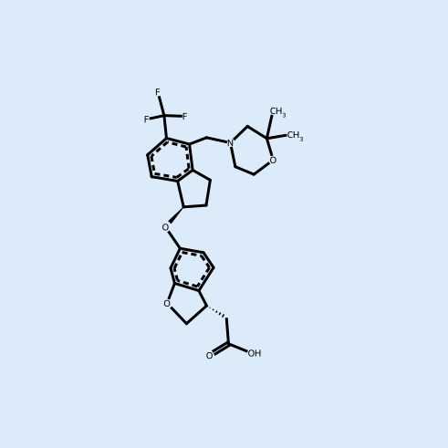 CC1(C)CN(Cc2c(C(F)(F)F)ccc3c2CC[C@H]3Oc2ccc3c(c2)OC[C@H]3CC(=O)O)CCO1